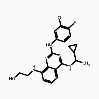 CC(Nc1nc(Nc2ccc(F)c(Cl)c2)nc2c(NCCO)cccc12)C1CC1